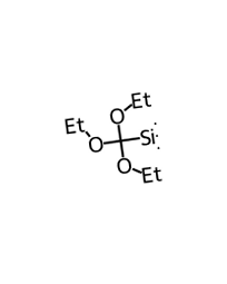 CCOC([Si])(OCC)OCC